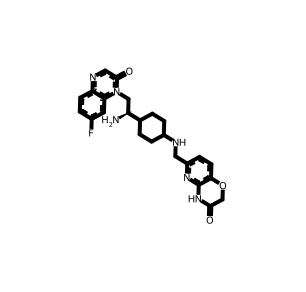 N[C@@H](Cn1c(=O)cnc2ccc(F)cc21)C1CCC(NCc2ccc3c(n2)NC(=O)CO3)CC1